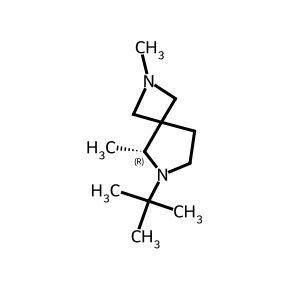 C[C@H]1N(C(C)(C)C)CCC12CN(C)C2